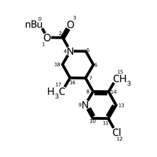 CCCCOC(=O)N1CCC(c2ncc(Cl)cc2C)C(C)C1